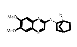 COc1cc2ncc(N[C@H]3CC4CC[C@H]3C4)nc2cc1OC